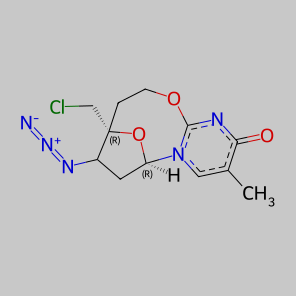 Cc1cn2c(nc1=O)OCC[C@@]1(CCl)O[C@@H]2CC1N=[N+]=[N-]